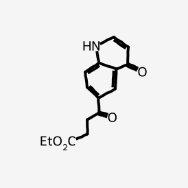 CCOC(=O)CCC(=O)c1ccc2[nH]ccc(=O)c2c1